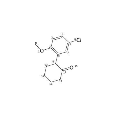 COc1ccc(Cl)cc1C1CCCCC1=O